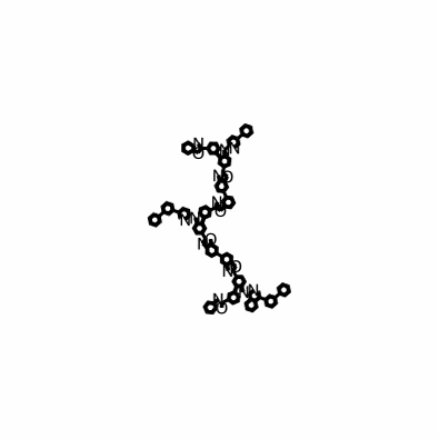 c1ccc(-c2ccc(-n3c4ccc(-c5nc6ccccc6o5)cc4c4cc(-c5nc6ccc(-c7cccc8oc(-c9ccc%10c(c9)c9cc(-c%11nc%12ccc(-c%13ccc%14oc(-c%15ccc%16c(c%15)c%15cc(-c%17nc%18ccccc%18o%17)ccc%15n%16-c%15ncc(-c%16cccc(-c%17ccccc%17)c%16)c%16ccccc%15%16)nc%14c%13)cc%12o%11)ccc9n%10-c9ccc(-c%10cccc(-c%11ccccc%11)c%10)cn9)nc78)cc6o5)ccc43)nc2)cc1